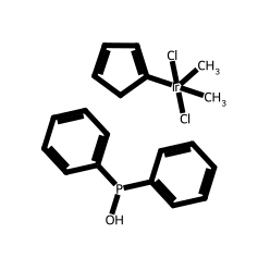 OP(c1ccccc1)c1ccccc1.[CH3][Ir]([CH3])([Cl])([Cl])[C]1=CC=CC1